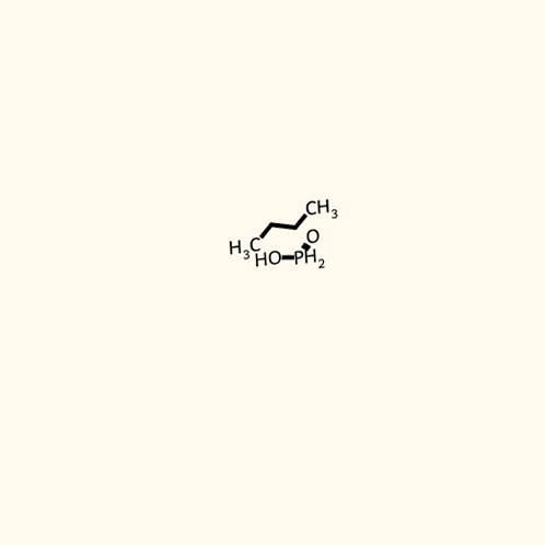 CCCC.O=[PH2]O